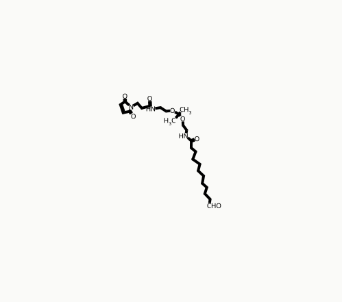 CC(C)(OCCNC(=O)CCCCCCCCCCC=O)OCCNC(=O)CCN1C(=O)C=CC1=O